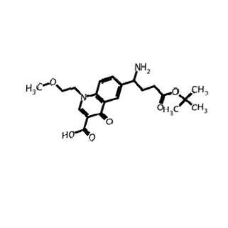 COCCn1cc(C(=O)O)c(=O)c2cc(C(N)CCC(=O)OC(C)(C)C)ccc21